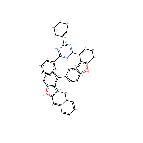 C1=CC2=Cc3oc4cccc(-c5ccc6oc7c(c6c5)C(c5nc(C6=CCCCC6)nc(-c6ccccc6)n5)=CCC7)c4c3CC2C=C1